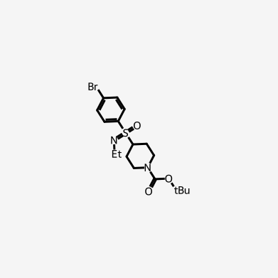 CCN=S(=O)(c1ccc(Br)cc1)C1CCN(C(=O)OC(C)(C)C)CC1